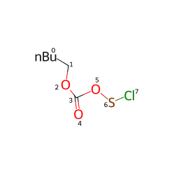 CCCCCOC(=O)OSCl